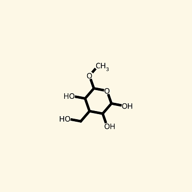 COC1OC(O)C(O)C(CO)C1O